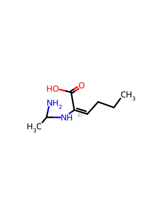 CCC/C=C(/NC(C)N)C(=O)O